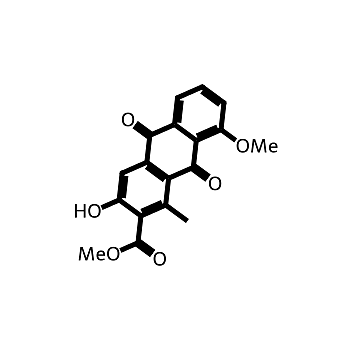 COC(=O)c1c(O)cc2c(c1C)C(=O)c1c(OC)cccc1C2=O